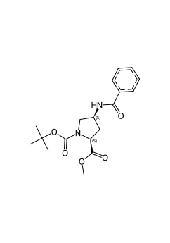 COC(=O)[C@@H]1C[C@H](NC(=O)c2ccccc2)CN1C(=O)OC(C)(C)C